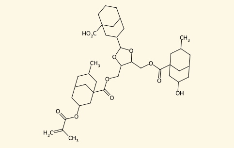 C=C(C)C(=O)OC1CC2CC(C)CC(C(=O)OCC3OC(C4CC5CCCC(C(=O)O)(C5)C4)OC3COC(=O)C34CC(C)CC(CC(O)C3)C4)(C2)C1